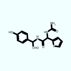 NC(=O)NC(C(=O)NC([C]=O)c1ccc(O)cc1)c1cccs1